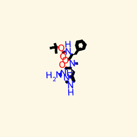 CN(C(=O)[C@H](Cc1ccccc1)NC(=O)OC(C)(C)C)[C@@H](Cc1c[nH]cn1)C(=O)NN